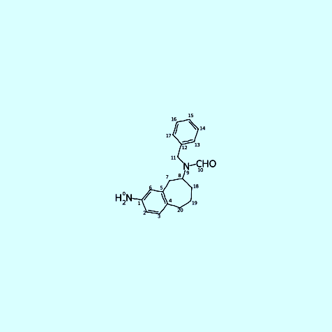 Nc1ccc2c(c1)CC(N(C=O)Cc1ccccc1)CCC2